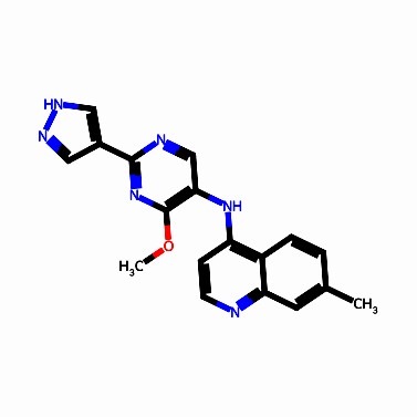 COc1nc(-c2cn[nH]c2)ncc1Nc1ccnc2cc(C)ccc12